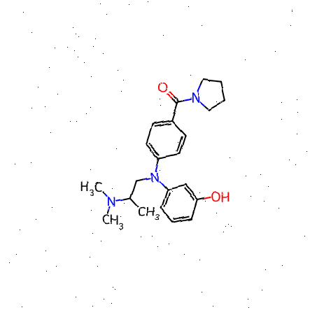 CC(CN(c1ccc(C(=O)N2CCCC2)cc1)c1cccc(O)c1)N(C)C